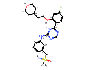 CS(=N)(=O)Cc1cccc(Nc2ncnc(-c3ccc(F)cc3OCCC3CCOCC3)n2)c1